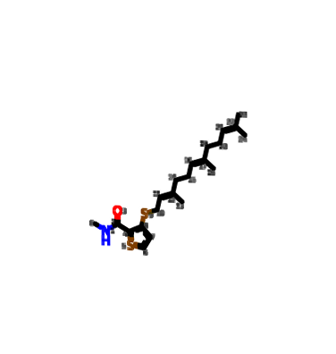 CNC(=O)c1sccc1SC/C=C(\C)CC/C=C(\C)CCC=C(C)C